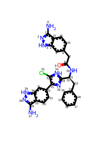 Nc1n[nH]c2cc(CC(=O)N[C@@H](Cc3ccccc3)c3nc(-c4ccc5c(N)n[nH]c5c4)c(Cl)[nH]3)ccc12